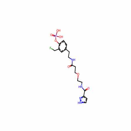 O=C(CCOCCNC(=O)c1cc[nH]n1)NCCc1ccc(OP(=O)(O)O)c(CF)c1